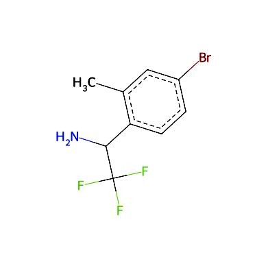 Cc1cc(Br)ccc1C(N)C(F)(F)F